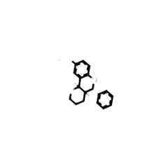 O=C(O)c1ccc2c(c1)[C@H]1OCCC[C@H]1[C@@H](c1ccccc1)N2